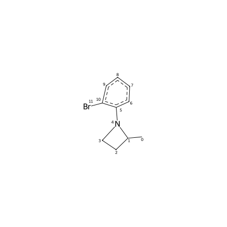 CC1CCN1c1ccccc1Br